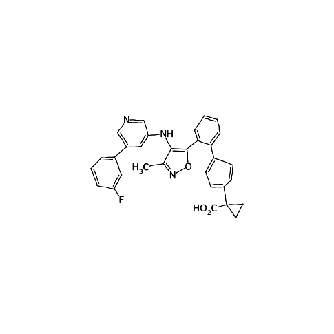 Cc1noc(-c2ccccc2-c2ccc(C3(C(=O)O)CC3)cc2)c1Nc1cncc(-c2cccc(F)c2)c1